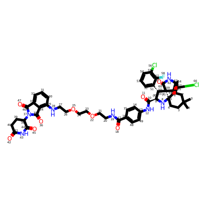 CC1(C)CCC2(CC1)N[C@@H](C(=O)Nc1ccc(C(=O)NCCOCCOCCNc3cccc4c3C(=O)N(C3CCC(=O)NC3=O)C4=O)cc1)[C@H](c1cccc(Cl)c1F)[C@]21C(=O)Nc2cc(Cl)ccc21